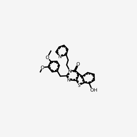 COc1ccc(Cc2nc3sc4c(O)cccc4c3c(=O)n2CCc2ccccn2)cc1OC